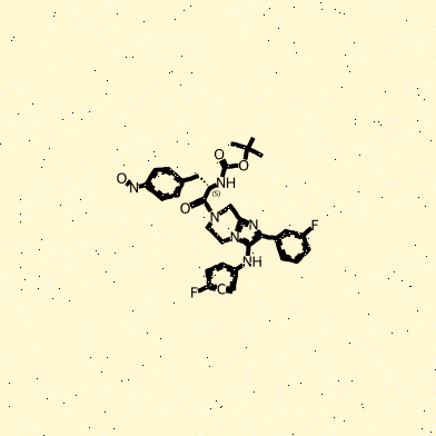 CC(C)(C)OC(=O)N[C@@H](Cc1ccc(N=O)cc1)C(=O)N1CCn2c(nc(-c3cccc(F)c3)c2Nc2ccc(F)cc2)C1